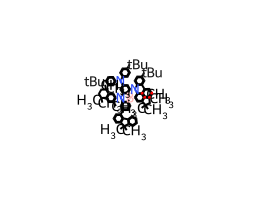 Cc1cc2c(cc1N1c3cc(-c4cccc5c4-c4ccccc4C5(C)C)ccc3B3c4cc5c(cc4N(c4ccc(C(C)(C)C)cc4-c4ccccc4)c4cc(N(c6ccc(C(C)(C)C)cc6)c6ccc(C(C)(C)C)cc6)cc1c43)C(C)(C)CC5(C)C)C(C)(C)CCC2(C)C